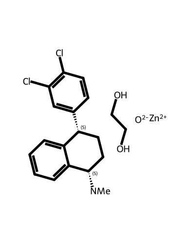 CN[C@H]1CC[C@@H](c2ccc(Cl)c(Cl)c2)c2ccccc21.OCCO.[O-2].[Zn+2]